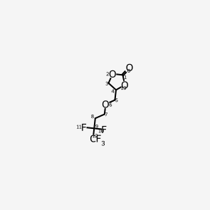 O=C1OCC(COCCC(F)(F)C(F)(F)F)O1